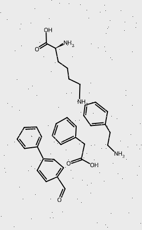 NCCCC[C@H](N)C(=O)O.NCCc1ccccc1.O=C(O)Cc1ccccc1.O=Cc1ccc(-c2ccccc2)cc1